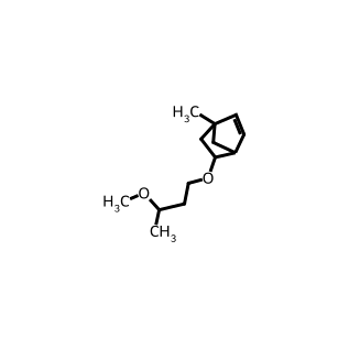 COC(C)CCOC1CC2(C)C=CC1C2